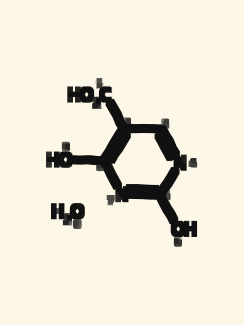 O.O=C(O)c1cnc(O)nc1O